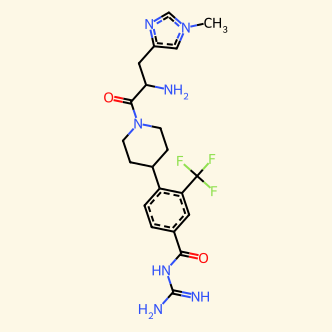 Cn1cnc(CC(N)C(=O)N2CCC(c3ccc(C(=O)NC(=N)N)cc3C(F)(F)F)CC2)c1